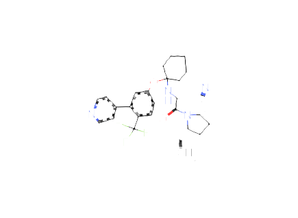 C=C[C@H]1CC[C@@H](C#N)N1C(=O)CNC1(Oc2ccc(C(F)(F)F)c(-c3ccncc3)c2)CCCCC1